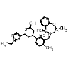 CCn1cc(CCC(CC(=O)O)c2ccc(C)c(CN3C[C@@H](C)Oc4ccccc4S3(O)O)c2)cn1